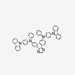 c1ccc(N(c2ccc(-c3nccnc3-c3ccc(N(c4ccccc4)c4ccc(-n5c6ccccc6c6ccccc65)cc4)cc3)cc2)c2ccc(-n3c4ccccc4c4ccccc43)cc2)cc1